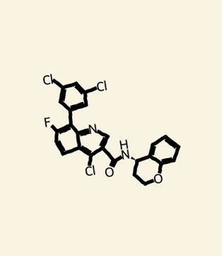 O=C(N[C@H]1CCOc2ccccc21)c1cnc2c(-c3cc(Cl)cc(Cl)c3)c(F)ccc2c1Cl